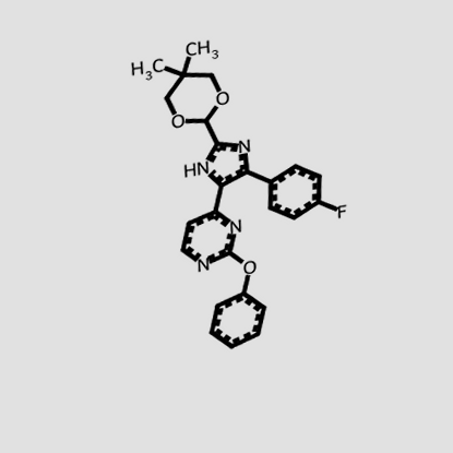 CC1(C)COC(c2nc(-c3ccc(F)cc3)c(-c3ccnc(Oc4ccccc4)n3)[nH]2)OC1